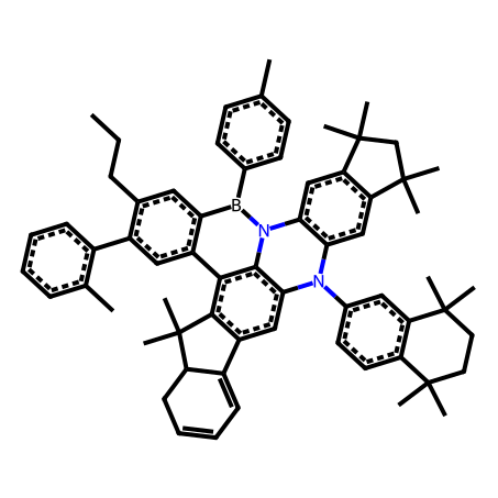 CCCc1cc2c(cc1-c1ccccc1C)-c1c3c(cc4c1C(C)(C)C1CC=CC=C41)N(c1ccc4c(c1)C(C)(C)CCC4(C)C)c1cc4c(cc1N3B2c1ccc(C)cc1)C(C)(C)CC4(C)C